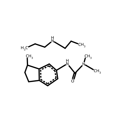 CC1CCc2ccc(NC(=O)N(C)C)cc21.CCCNCCC